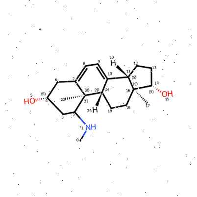 CNC1C[C@H](O)CC2=CC=C3[C@@H]4CC[C@H](O)[C@@]4(C)CC[C@@H]3[C@]21C